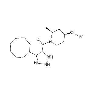 CC(C)O[C@H]1CCN(C(=O)C2NNNC2C2CCCCCCC2)[C@@H](C)C1